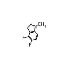 CN1CCc2c1ccc(F)c2F